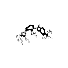 Cc1c(B2OC(C)(C)C(C)(C)O2)cccc1N1Cc2cc(C(C)(C)C)ccc2C1=O